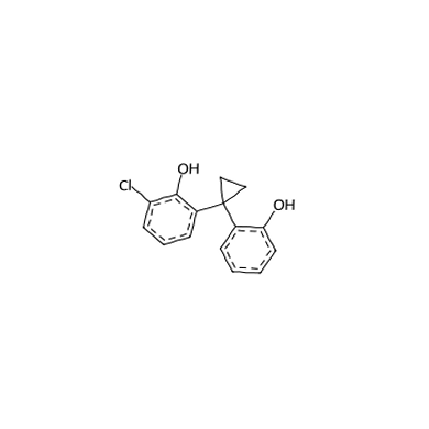 Oc1ccccc1C1(c2cccc(Cl)c2O)CC1